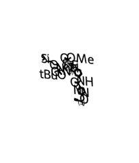 C#C[C@H](C)Oc1cnc(C(=O)Nc2ccc(F)c([C@@]3(C)N=C(N(COCC[Si](C)(C)C)C(=O)OC(C)(C)C)S[C@@]4(C(=O)OC)C[C@H]43)c2)cn1